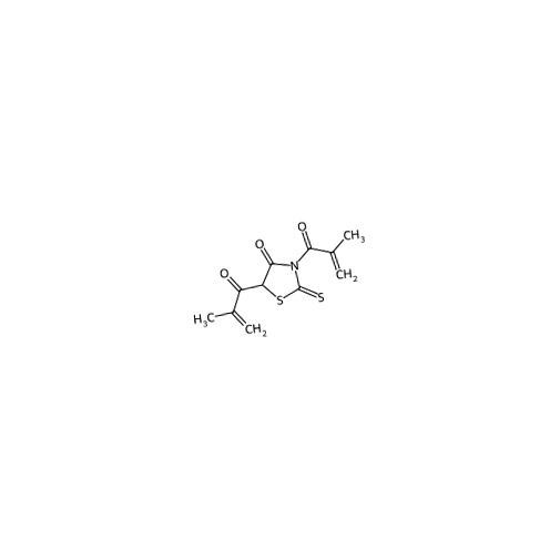 C=C(C)C(=O)C1SC(=S)N(C(=O)C(=C)C)C1=O